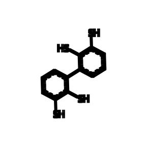 Sc1cccc(-c2cccc(S)c2S)c1S